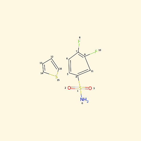 NS(=O)(=O)c1ccc(F)c(F)c1.c1ccsc1